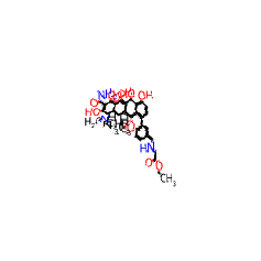 CCOC(=O)CNCc1ccc(OC)c(-c2ccc(O)c3c2C[C@H]2C[C@@H]4[C@@H](N(C)C)C(O)=C(C(N)=O)C(=O)[C@@]4(O)C(O)=C2C3=O)c1